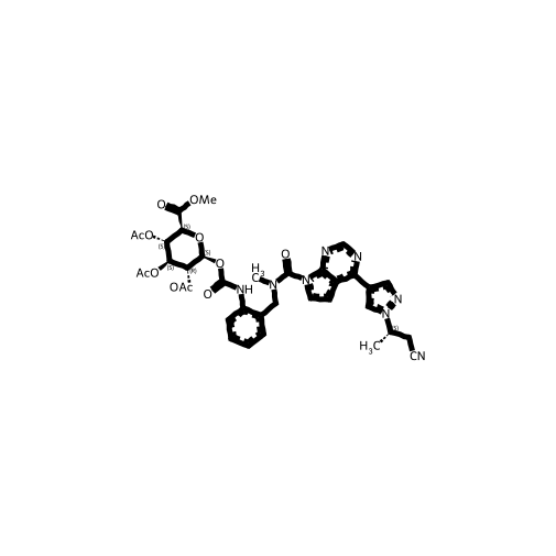 COC(=O)[C@H]1O[C@@H](OC(=O)Nc2ccccc2CN(C)C(=O)n2ccc3c(-c4cnn([C@@H](C)CC#N)c4)ncnc32)[C@H](OC(C)=O)[C@@H](OC(C)=O)[C@@H]1OC(C)=O